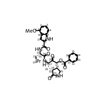 COc1cccc2[nH]c(C(=O)N[C@@H](CC(C)C)C(=O)N[C@@H](C[C@@H]3CCNC3=O)C(=O)COC(=O)c3ccccc3)cc12